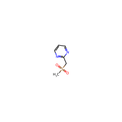 CS(=O)(=O)[CH]c1ncccn1